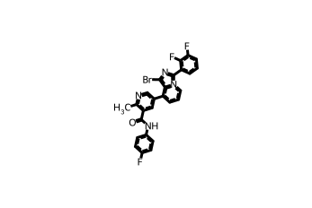 Cc1ncc(-c2cccn3c(-c4cccc(F)c4F)nc(Br)c23)cc1C(=O)Nc1ccc(F)cc1